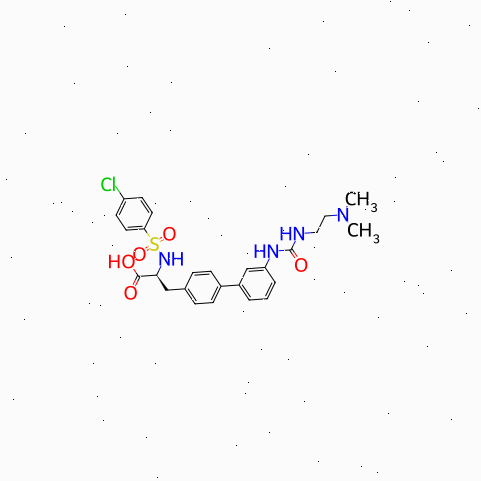 CN(C)CCNC(=O)Nc1cccc(-c2ccc(C[C@H](NS(=O)(=O)c3ccc(Cl)cc3)C(=O)O)cc2)c1